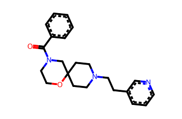 O=C(c1ccccc1)N1CCOC2(CCN(CCc3cccnc3)CC2)C1